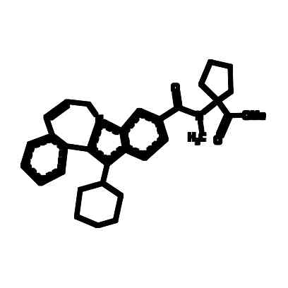 COC(=O)C1(N(C)C(=O)c2ccc3c(C4CCCCC4)c4n(c3c2)CC=Cc2ccccc2-4)CCCC1